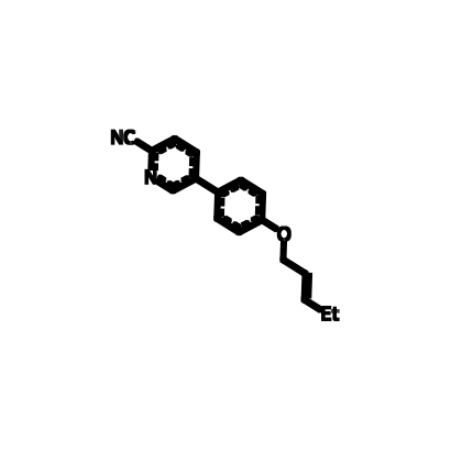 CCC=CCOc1ccc(-c2ccc(C#N)nc2)cc1